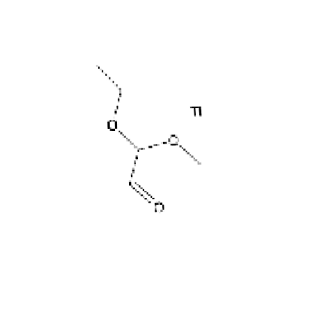 CCOC(C=O)OC.[Ti]